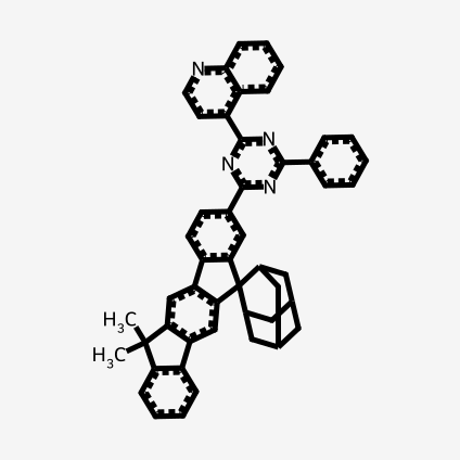 CC1(C)c2ccccc2-c2cc3c(cc21)-c1ccc(-c2nc(-c4ccccc4)nc(-c4ccnc5ccccc45)n2)cc1C31C2CC3CC(C2)CC1C3